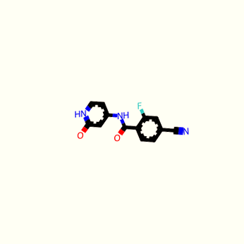 N#Cc1ccc(C(=O)Nc2cc[nH]c(=O)c2)c(F)c1